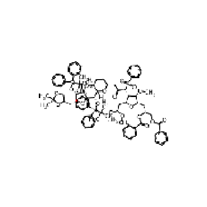 COC(C[C@@H]1O[C@H](C[C@H](COC(=O)c2ccccc2)OC(=O)c2ccccc2)[C@H](OC)[C@H]1[C@@H](C(=O)C[C@H]1CC[C@@H]2O[C@@H]3[C@@H](O[C@H](C[C@@H]4COC(C)(C)O4)[C@@H]3O[Si](c3ccccc3)(c3ccccc3)C(C)(C)C)[C@@H](O[Si](c3ccccc3)(c3ccccc3)C(C)(C)C)[C@H]2O1)S(=O)(=O)c1ccccc1)OC